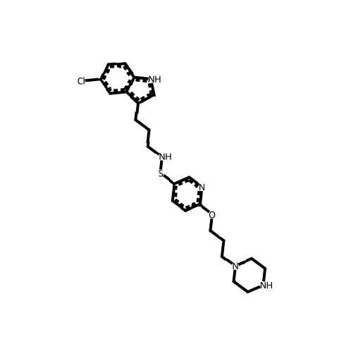 Clc1ccc2[nH]cc(CCCNSc3ccc(OCCCN4CCNCC4)nc3)c2c1